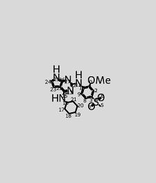 COc1cc(S(C)(=O)=O)ccc1Nc1nc(NC2CCCCC2)c2cc[nH]c2n1